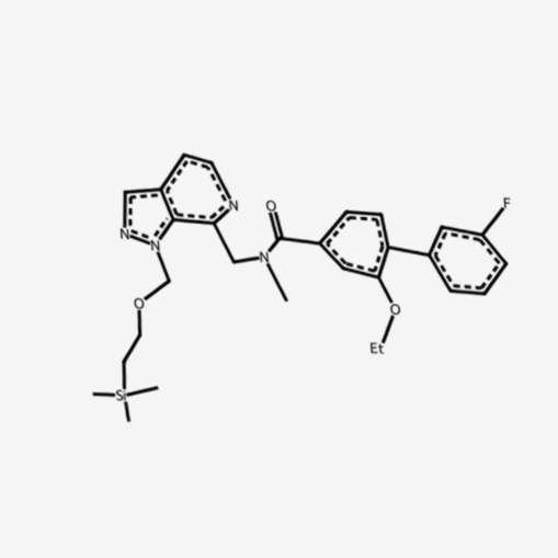 CCOc1cc(C(=O)N(C)Cc2nccc3cnn(COCC[Si](C)(C)C)c23)ccc1-c1cccc(F)c1